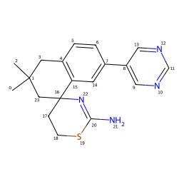 CC1(C)Cc2ccc(-c3cncnc3)cc2C2(CCSC(N)=N2)C1